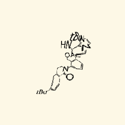 CC(=O)OCc1c(-c2cc(NC(C)(C)C)c3nccn3c2)cccc1N1CCc2cc(C(C)(C)C)ccc2C1=O